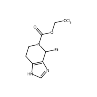 CCC1c2nc[nH]c2CCN1C(=O)OCC(Cl)(Cl)Cl